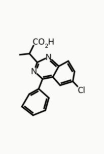 CC(C(=O)O)c1nc(-c2ccccc2)c2cc(Cl)ccc2n1